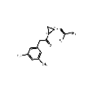 CC(C)=C[C@H]1C[C@@H]1C(=O)Cc1cc(C)cc(C)c1